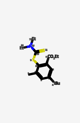 CCOC(=O)c1cc(C(C)(C)C)cc(C)c1SC(=S)N(CC)CC